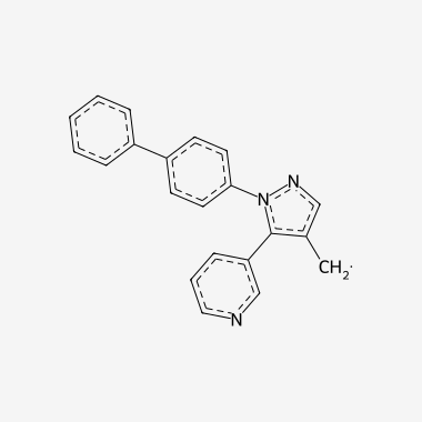 [CH2]c1cnn(-c2ccc(-c3ccccc3)cc2)c1-c1cccnc1